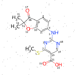 CSc1nc(Nc2ccc3c(c2)OC(C)(C)C3=O)ncc1C(=O)O